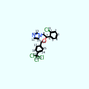 Clc1ccccc1C(Cn1ccnc1)OCc1ccc(C(Cl)(Cl)Cl)cc1